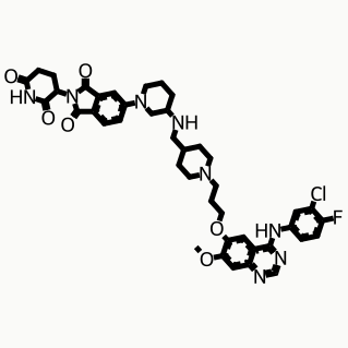 COc1cc2ncnc(Nc3ccc(F)c(Cl)c3)c2cc1OCCCN1CCC(CNC2CCCN(c3ccc4c(c3)C(=O)N(C3CCC(=O)NC3=O)C4=O)C2)CC1